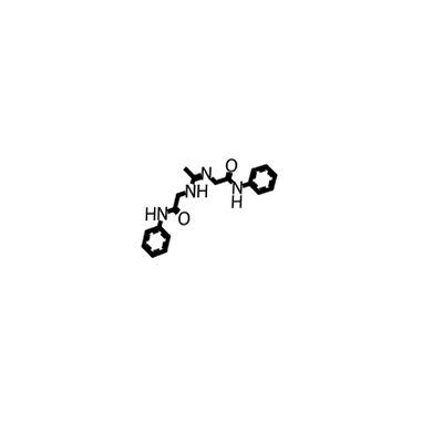 CC(=NCC(=O)Nc1ccccc1)NCC(=O)Nc1ccccc1